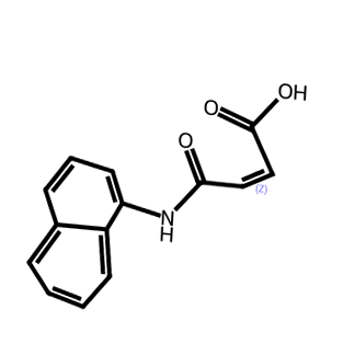 O=C(O)/C=C\C(=O)Nc1cccc2ccccc12